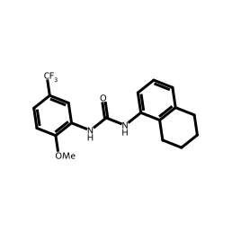 COc1ccc(C(F)(F)F)cc1NC(=O)Nc1cccc2c1CCCC2